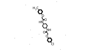 Cc1ccc(OCC(=O)NC2CCC(NC(=O)COc3ccc(Cl)cc3)CC2)cc1